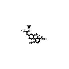 C=C(CC1C=CC(c2c(CCC)ccc(CN)c2C)C(C)C1)CC1CC1